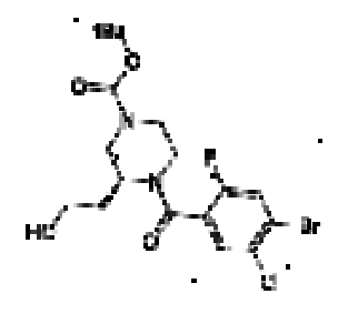 CC(C)(C)OC(=O)N1CCN(C(=O)c2cc(Cl)c(Br)cc2F)[C@@H](CCO)C1